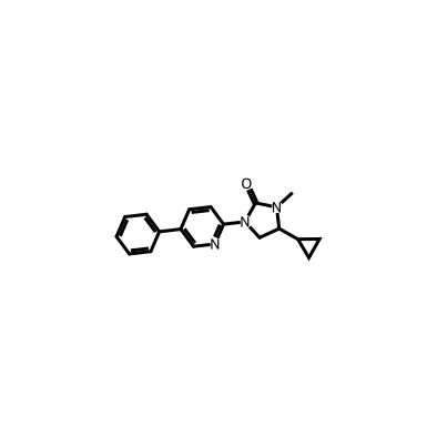 CN1C(=O)N(c2ccc(-c3ccccc3)cn2)CC1C1CC1